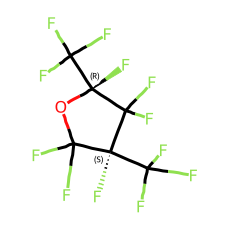 FC(F)(F)[C@@]1(F)OC(F)(F)[C@](F)(C(F)(F)F)C1(F)F